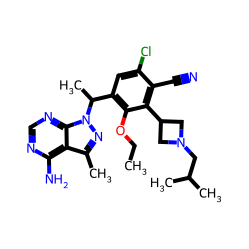 CCOc1c(C(C)n2nc(C)c3c(N)ncnc32)cc(Cl)c(C#N)c1C1CN(CC(C)C)C1